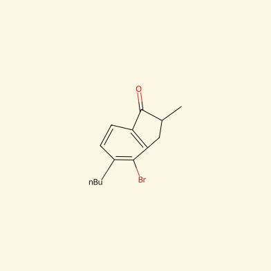 CCCCc1ccc2c(c1Br)CC(C)C2=O